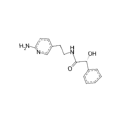 Nc1ccc(CCNC(=O)[C@H](O)c2ccccc2)cn1